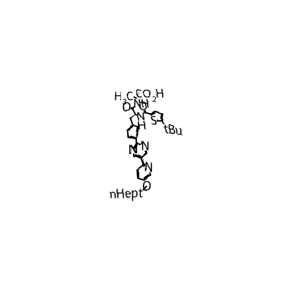 CCCCCCCOc1ccc(-c2cnc(-c3ccc(C[C@H](NC(=O)c4ccc(C(C)(C)C)s4)C(=O)N[C@H](C)C(=O)O)cc3)nc2)nc1